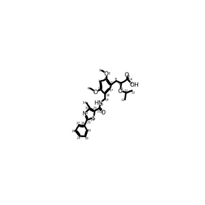 COc1cc(OC)c(CC(OC(C)C)C(=O)O)cc1CNC(=O)c1sc(-c2ccccc2)nc1C